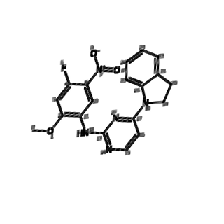 COc1cc(F)c([N+](=O)[O-])cc1Nc1nccc(N2CCc3ccccc32)n1